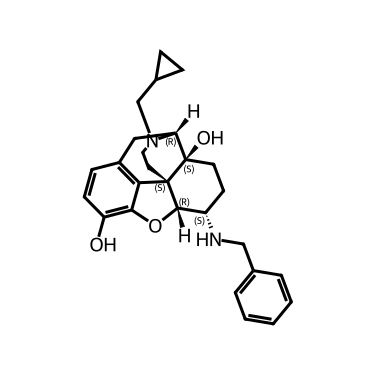 Oc1ccc2c3c1O[C@H]1[C@@H](NCc4ccccc4)CC[C@@]4(O)[C@@H](C2)N(CC2CC2)CC[C@]314